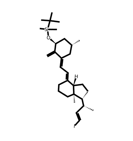 C=C1/C(=C/C=C2\CCC[C@]3(C)[C@@H]([C@H](C)/C=C/I)CC[C@@H]23)C[C@@H](C)C[C@@H]1O[Si](C)(C)C(C)(C)C